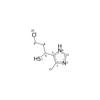 Cc1nc[nH]c1C(S)CCCl